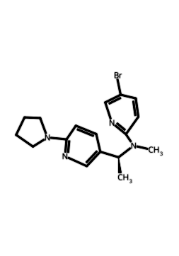 C[C@@H](c1ccc(N2CCCC2)nc1)N(C)c1ccc(Br)cn1